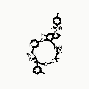 Cc1ccc(S(=O)(=O)n2ccc3c4c(c(F)cc32)Sc2ccnc(c2)-c2nc(nn2C)C(C)(c2cccc(I)c2)CCCCC(C)(C)c2cn(nn2)C4)cc1